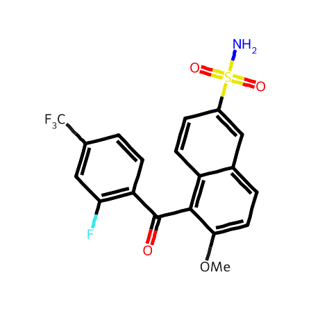 COc1ccc2cc(S(N)(=O)=O)ccc2c1C(=O)c1ccc(C(F)(F)F)cc1F